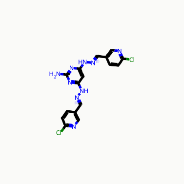 Nc1nc(N/N=C/c2ccc(Cl)nc2)cc(N/N=C/c2ccc(Cl)nc2)n1